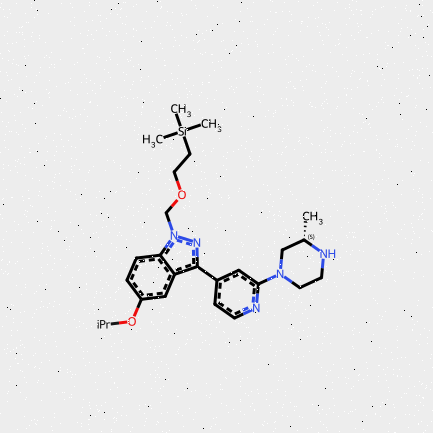 CC(C)Oc1ccc2c(c1)c(-c1ccnc(N3CCN[C@@H](C)C3)c1)nn2COCC[Si](C)(C)C